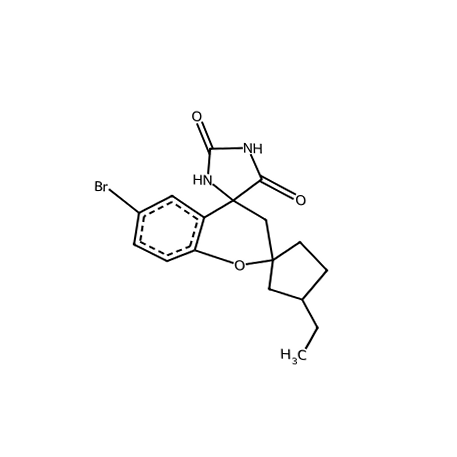 CCC1CCC2(C1)CC1(NC(=O)NC1=O)c1cc(Br)ccc1O2